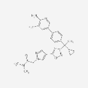 CN(C)C(=O)Cn1cc(-c2nc(C(C)(c3ccc(-c4cnc(N)c(C(F)(F)F)c4)cc3)C3CC3)no2)cn1